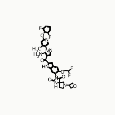 Cc1cc(Oc2c(F)cccc2F)ncc1-n1ncc(C(=O)c2cc3cc(OCC(F)F)c(N4C(=O)NC5(CCN(C6COC6)C5)C4=O)cc3[nH]2)c1N